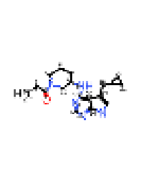 C=CC(=O)N1CCCC(Nc2ncnc3[nH]cc(CC4CC4)c23)C1